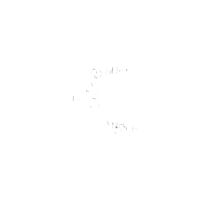 CCCCCCc1coc(/C=C(\C)C(=O)c2c(O)cc(C(C)CC/C=C/NC(=O)O)oc2=O)c1